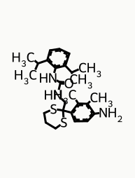 Cc1c(N)ccc(C2(CNC(=O)Nc3c(C(C)C)cccc3C(C)C)SCCCS2)c1C